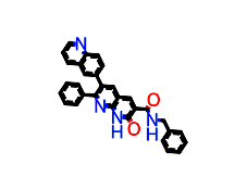 O=C(NCc1ccccc1)c1cc2cc(-c3ccc4ncccc4c3)c(-c3ccccc3)nc2[nH]c1=O